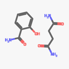 NC(=O)CCC(N)=O.NC(=O)c1ccccc1O